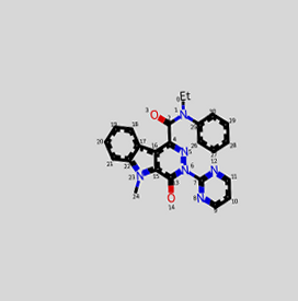 CCN(C(=O)c1nn(-c2ncccn2)c(=O)c2c1c1ccccc1n2C)c1ccccc1